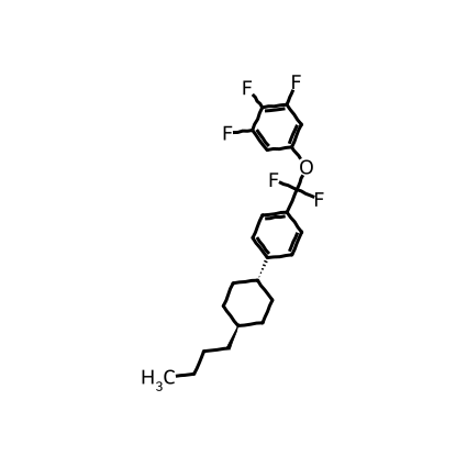 CCCC[C@H]1CC[C@H](c2ccc(C(F)(F)Oc3cc(F)c(F)c(F)c3)cc2)CC1